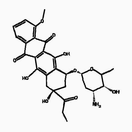 CCC(=O)[C@]1(O)Cc2c(O)c3c(c(O)c2[C@@H](O[C@H]2C[C@@H](N)[C@@H](O)C(C)O2)C1)C(=O)c1c(OC)cccc1C3=O